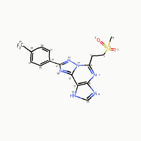 CS(=O)(=O)CCc1nc2nc[nH]c2c2nc(-c3ccc(C(F)(F)F)cc3)nn12